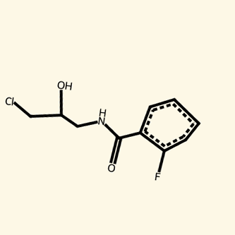 O=C(NCC(O)CCl)c1ccccc1F